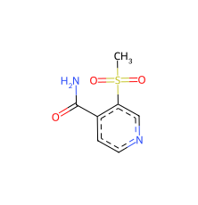 CS(=O)(=O)c1cnccc1C(N)=O